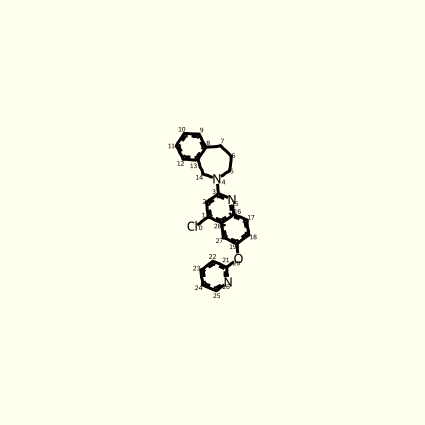 Clc1cc(N2CCCc3ccccc3C2)nc2ccc(Oc3ccccn3)cc12